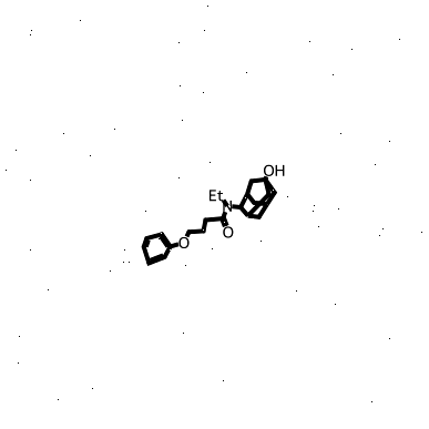 CCN(C(=O)CCCOc1ccccc1)C1C2CC3CC1CC(O)(C3)C2